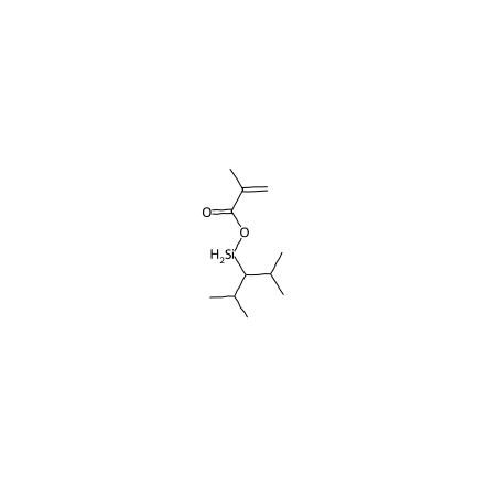 C=C(C)C(=O)O[SiH2]C(C(C)C)C(C)C